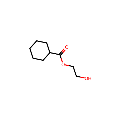 O=C(OCCO)C1CCCCC1